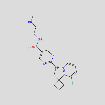 CNCCNC(=O)c1cnc(NCC2(c3ncccc3F)CCC2)nc1